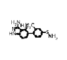 Cc1cc(SN)ccc1-c1ccc2[nH]nc(N)c2c1C